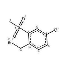 CS(=O)(=O)c1cc(Cl)ccc1CBr